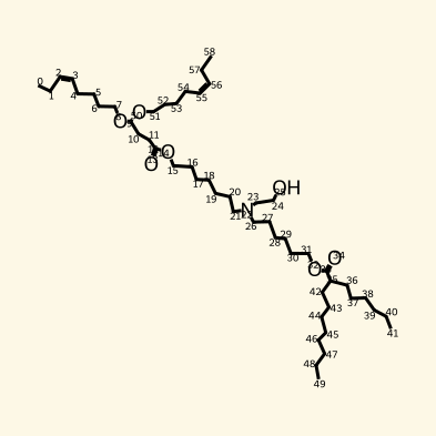 CC/C=C\CCCCOC(CCC(=O)OCCCCCCCN(CCO)CCCCCCOC(=O)C(CCCCCC)CCCCCCCC)OCCCC/C=C\CC